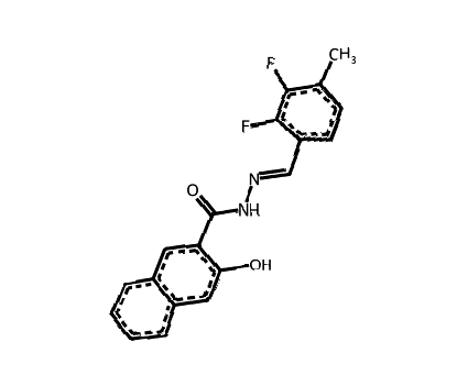 Cc1ccc(/C=N/NC(=O)c2cc3ccccc3cc2O)c(F)c1F